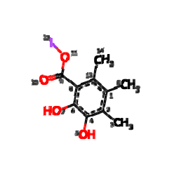 Cc1c(C)c(O)c(O)c(C(=O)OI)c1C